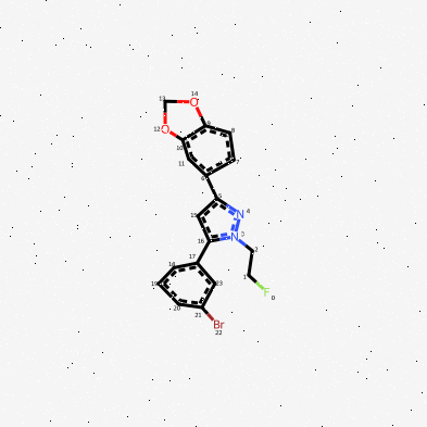 FCCn1nc(-c2ccc3c(c2)OCO3)cc1-c1cccc(Br)c1